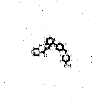 O=C(c1cc2c(-c3ccc(CN4CCC(O)CC4)cc3)nccc2[nH]1)N1CCOCC1